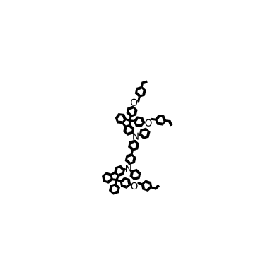 C=Cc1ccc(COc2ccc(C3(c4ccccc4)c4ccccc4-c4ccc(N(c5ccccc5)c5ccc(-c6ccc(N(c7ccccc7)c7ccc8c(c7)C(c7ccc(OCc9ccc(C=C)cc9)cc7)(c7ccc(OCc9ccc(C=C)cc9)cc7)c7ccccc7-8)cc6)cc5)cc43)cc2)cc1